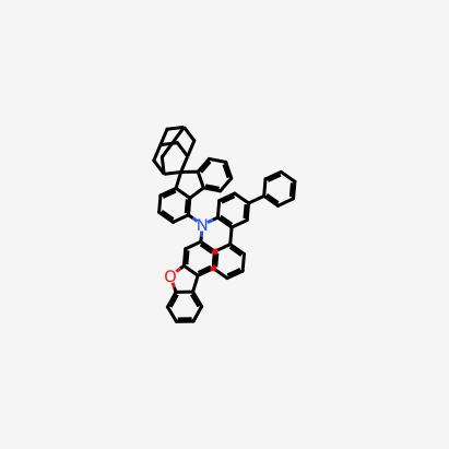 c1ccc(-c2ccc(N(c3ccc4c(c3)oc3ccccc34)c3cccc4c3-c3ccccc3C43C4CC5CC(C4)CC3C5)c(-c3ccccc3)c2)cc1